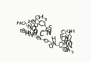 Cc1cc(CNC(=O)COCCOCC(=O)N[C@H](C(=O)N2C[C@H](O)C[C@H]2C(=O)N[C@@H](C)c2ccc(-c3scnc3C)cc2)C(C)(C)C)cc(C)c1-n1c(=O)ncc2cc(F)c(-c3c(O)cccc3F)nc21